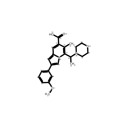 COc1cccc(-c2cc3cc(C(=O)O)c(C)c(C(C)N4CCOCC4)n3c2)c1